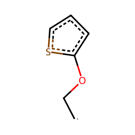 [CH2]COc1cccs1